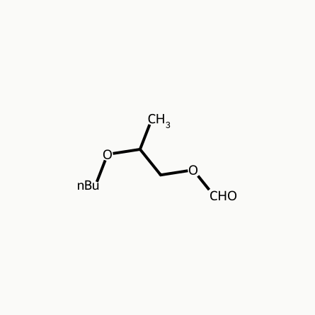 CCCCOC(C)COC=O